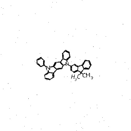 CC1(C)c2ccccc2-c2cc(-n3c4ccccc4c4cc5c(cc43)c3ccccc3n5-c3ccccc3)ccc21